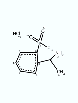 CC(N)c1ccccc1S(=O)(=O)F.Cl